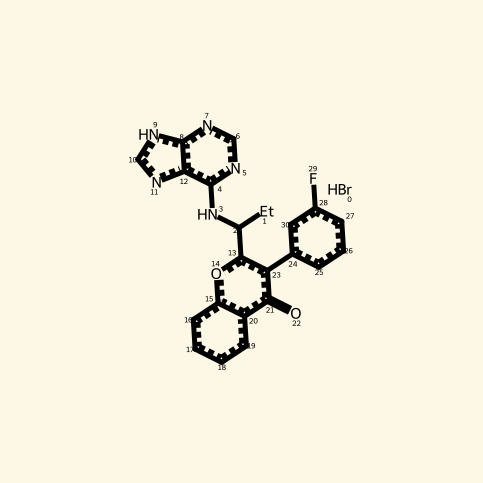 Br.CCC(Nc1ncnc2[nH]cnc12)c1oc2ccccc2c(=O)c1-c1cccc(F)c1